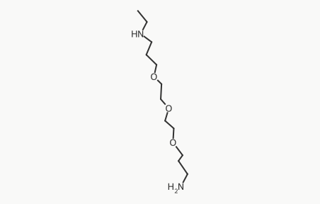 CCNCCCOCCOCCOCCCN